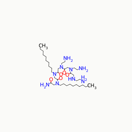 CCCCCCCCCCN(CC(N)=O)C(=O)CN(CCCCCCCCCC)C(=O)CN(CCN)C(=O)CN(CCN)C(=O)CNCCN